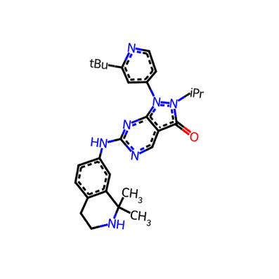 CC(C)n1c(=O)c2cnc(Nc3ccc4c(c3)C(C)(C)NCC4)nc2n1-c1ccnc(C(C)(C)C)c1